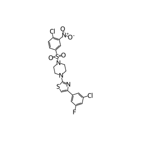 O=[N+]([O-])c1cc(S(=O)(=O)N2CCN(c3nc(-c4cc(F)cc(Cl)c4)cs3)CC2)ccc1Cl